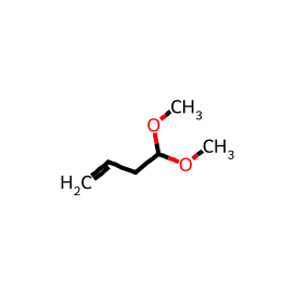 C=CCC(OC)OC